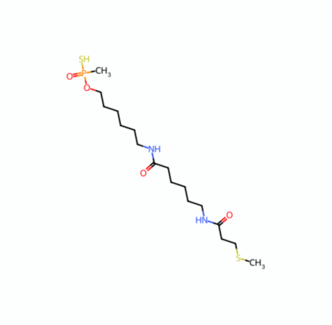 CSCCC(=O)NCCCCCC(=O)NCCCCCCOP(C)(=O)S